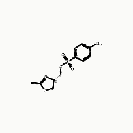 Bc1ccc(S(=O)(=O)OC[C@@H]2COC(C)=N2)cc1